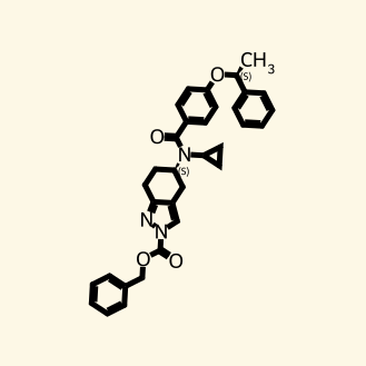 C[C@H](Oc1ccc(C(=O)N(C2CC2)[C@H]2CCc3nn(C(=O)OCc4ccccc4)cc3C2)cc1)c1ccccc1